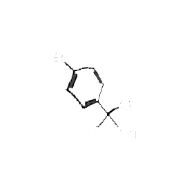 CCc1ccc(C(Cl)(Cl)C(Cl)(Cl)Cl)cc1